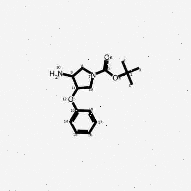 CC(C)(C)OC(=O)N1CC(N)C(Oc2ccccc2)C1